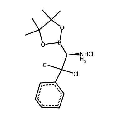 CC1(C)OB([C@@H](N)C(Cl)(Cl)c2ccccc2)OC1(C)C.Cl